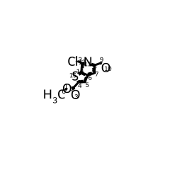 COC(=O)c1cc2cc(C=O)nc(Cl)c2s1